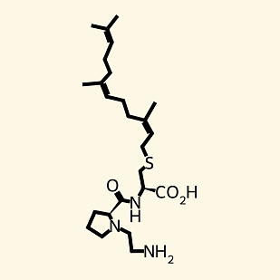 CC(C)=CCCC(C)=CCCC(C)=CCSC[C@H](NC(=O)[C@@H]1CCCN1CCN)C(=O)O